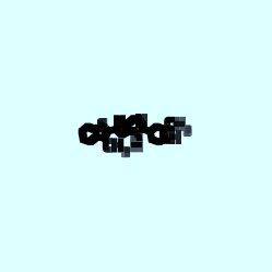 Cc1c(-c2cc3[nH]c(C4CCNC(C)C4)ncc-3n2)sc2ccccc12